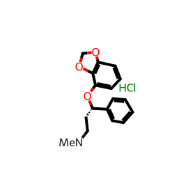 CNCC[C@H](Oc1cccc2c1OCO2)c1ccccc1.Cl